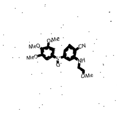 COCCNc1cc([S+]([O-])c2cc(OC)c(OC)c(OC)c2)ccc1C#N